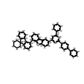 c1ccc(-c2ccc(-c3nc(-c4ccccc4)cc(-c4ccc5oc6c(-c7cccc8c7-c7ccccc7C87CCCCC7)cccc6c5c4)n3)cc2)cc1